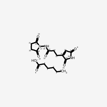 CCCCCC(=O)O.O=C1C=C(CCC(=O)NN2C(=O)CCC2=O)C(=O)N1